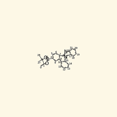 C=C1OB(c2ccc3c(c2)c2ccccc2n2c4ccccc4nc32)OC1(C)C